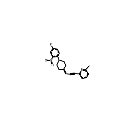 Cc1cccc(C#CC=C2CCN(c3ccc(F)cc3[N+](=O)[O-])CC2)n1